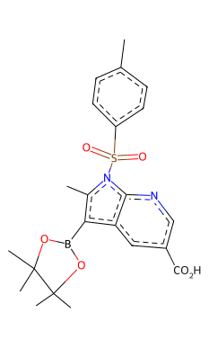 Cc1ccc(S(=O)(=O)n2c(C)c(B3OC(C)(C)C(C)(C)O3)c3cc(C(=O)O)cnc32)cc1